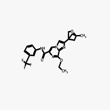 CCOc1nc(C(=O)Nc2cccc(C(F)(F)F)c2)cn2cc(C34COC(C)(C3)C4)nc12